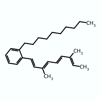 CC=C(C)C=CC=C(C)C=Cc1ccccc1CCCCCCCCCC